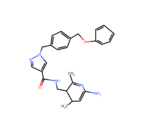 CC1=NC(N)=CC(C)C1CNC(=O)c1cnn(Cc2ccc(COc3ccccc3)cc2)c1